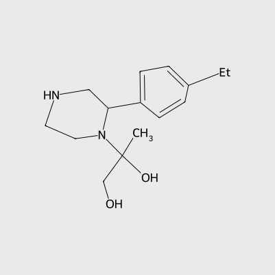 CCc1ccc(C2CNCCN2C(C)(O)CO)cc1